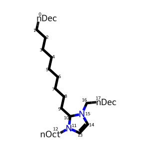 CCCCCCCCCCCCCCCCCCCC1N(CCCCCCCC)C=CN1CCCCCCCCCCC